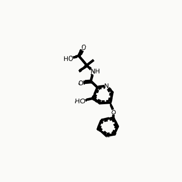 CC(C)(NC(=O)c1ncc(Oc2ccccc2)cc1O)C(=O)O